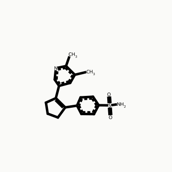 Cc1cc(C2=C(c3ccc(S(N)(=O)=O)cc3)CCC2)cnc1C